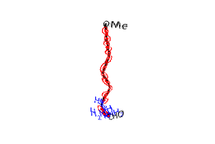 COCCOCCOCCOCCOCCOCCOCCOCCOCCOCCOCCOCCC(=O)NCCNC(=O)c1nc(N)c(C=O)nc1N